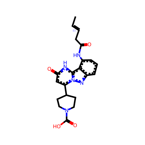 C/C=C/CC(=O)Nc1cccc2nn3c(C4CCN(C(=O)O)CC4)cc(=O)[nH]c3c12